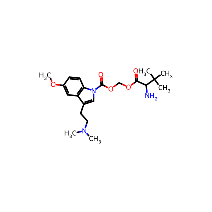 COc1ccc2c(c1)c(CCN(C)C)cn2C(=O)OCOC(=O)C(N)C(C)(C)C